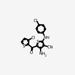 N#Cc1c(Nc2ccc(Cl)cc2)sc(C(=O)c2sccc2Cl)c1N